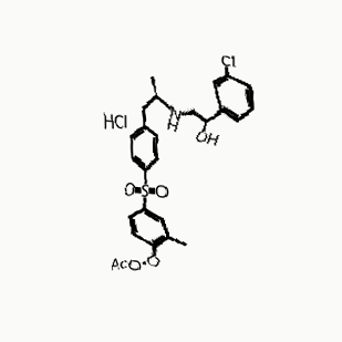 CC(=O)OOc1ccc(S(=O)(=O)c2ccc(C[C@@H](C)NC[C@H](O)c3cccc(Cl)c3)cc2)cc1C.Cl